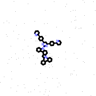 c1ccc(-c2ccc(-c3cc(-c4ccc(-c5ccccn5)cc4)nc(-n4c5ccccc5c5c6cc7c8ccccc8c8ccccc8n7c6ccc54)n3)cc2)nc1